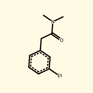 CCc1cccc(CC(=O)N(C)C)c1